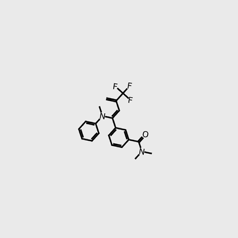 C=C(/C=C(/c1cccc(C(=O)N(C)C)c1)N(C)c1ccccc1)C(F)(F)F